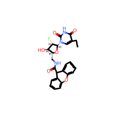 CCc1cn([C@@H]2O[C@H](CNC(=O)C3c4ccccc4Oc4ccccc43)[C@@H](O)[C@@H]2F)c(=O)[nH]c1=O